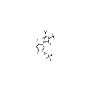 Cc1cc(F)c(-n2nc(C3CC3)n(N(C)C)c2=O)cc1SCC(F)(F)F